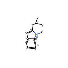 CC(C)Cc1cc2ccccc2n1C